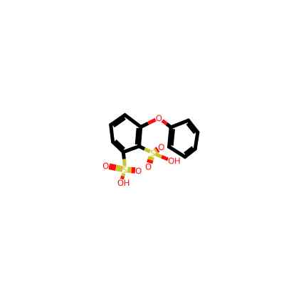 O=S(=O)(O)c1cccc(Oc2ccccc2)c1S(=O)(=O)O